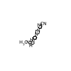 CN1C[C@H]2CCN(c3ccc(N4CCN(c5ccc(C#N)nc5)CC4)cc3)[C@H]2C1